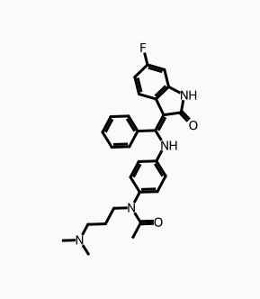 CC(=O)N(CCCN(C)C)c1ccc(N/C(=C2\C(=O)Nc3cc(F)ccc32)c2ccccc2)cc1